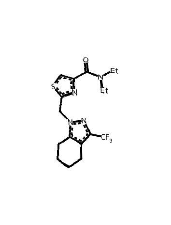 CCN(CC)C(=O)c1csc(Cn2nc(C(F)(F)F)c3c2CCCC3)n1